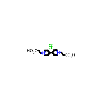 O=C(O)CC[n+]1ccc(-c2cc[n+](CCC(=O)O)cc2)cc1.[Cl-].[Cl-]